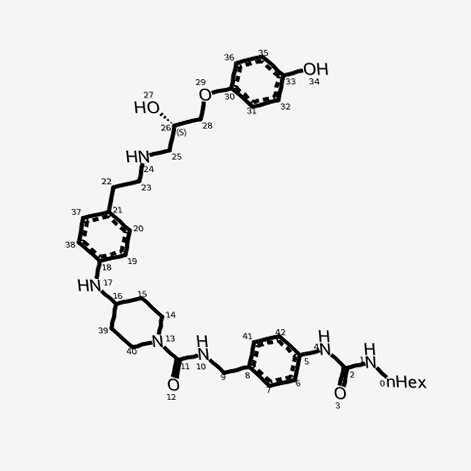 CCCCCCNC(=O)Nc1ccc(CNC(=O)N2CCC(Nc3ccc(CCNC[C@H](O)COc4ccc(O)cc4)cc3)CC2)cc1